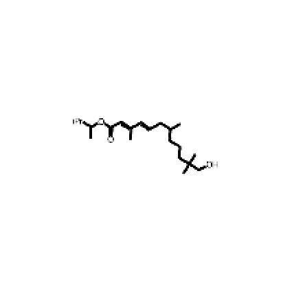 CC(/C=C/CC(C)CCCC(C)(C)CO)=C\C(=O)OC(C)C(C)C